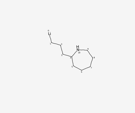 [Li][CH2]CCC1CCCCCN1